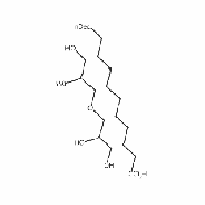 CCCCCCCCCCCCCCCCCCCC(=O)O.OCC(O)COCC(O)CO